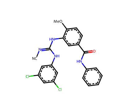 COc1ccc(C(=O)Nc2ccccc2)cc1N/C(=N/C#N)Nc1cc(Cl)cc(Cl)c1